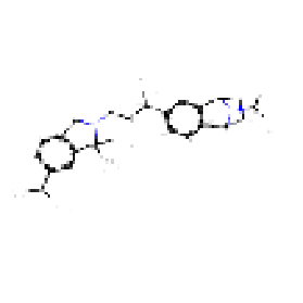 CC(C)c1ccc2c(c1)C(C)(C)N(CCC(C)c1ccc3c(c1)C1CCC3N1C(C)C)C2